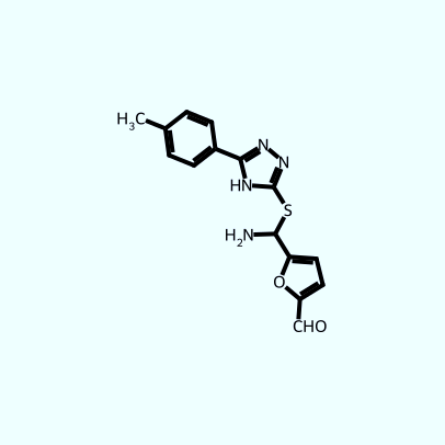 Cc1ccc(-c2nnc(SC(N)c3ccc(C=O)o3)[nH]2)cc1